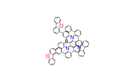 c1ccc(-c2cccc(-c3ccccc3)c2N2c3ccc(-c4cccc5c4oc4ccccc45)cc3B3c4ccc(-c5ccc6oc7ccccc7c6c5)cc4N(c4c(-c5ccccc5)cccc4-c4ccccc4)c4cc(-n5c6ccccc6c6ccccc65)cc2c43)cc1